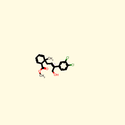 COC(=O)C1C=CC=CC1(C)C/C=C(\CO)c1ccc(Cl)c(Cl)c1